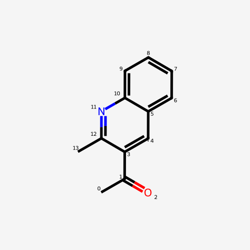 CC(=O)c1[c]c2ccccc2nc1C